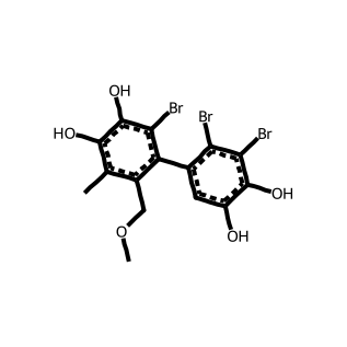 COCc1c(C)c(O)c(O)c(Br)c1-c1cc(O)c(O)c(Br)c1Br